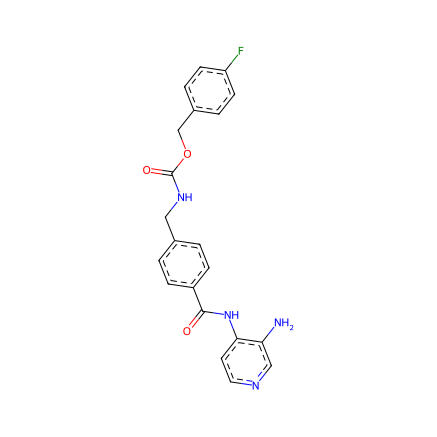 Nc1cnccc1NC(=O)c1ccc(CNC(=O)OCc2ccc(F)cc2)cc1